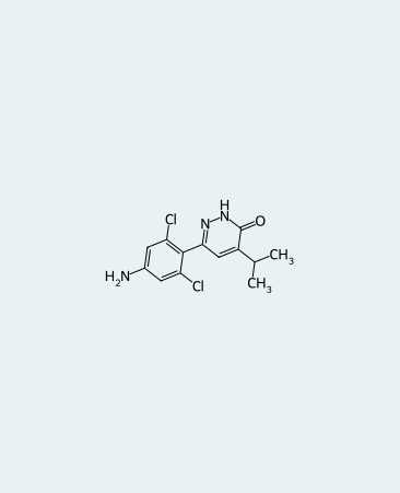 CC(C)c1cc(-c2c(Cl)cc(N)cc2Cl)n[nH]c1=O